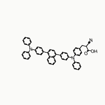 N#CC(Cc1ccc(N(c2ccccc2)c2ccc(-c3ccc(-c4ccc(N(c5ccccc5)c5ccccc5)cc4)c4ccccc34)cc2)cc1)C(=O)O